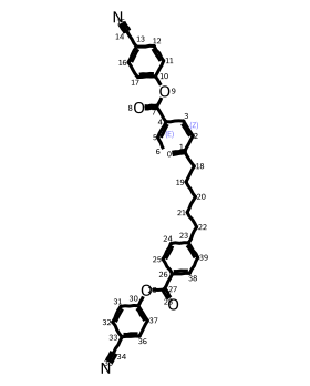 C=C(/C=C\C(=C/C)C(=O)Oc1ccc(C#N)cc1)CCCCCc1ccc(C(=O)Oc2ccc(C#N)cc2)cc1